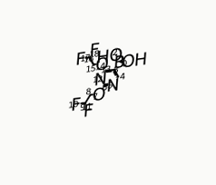 OB(O)c1cnc(OCC(F)F)nc1OCC(F)F